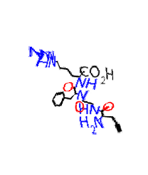 C#CC[C@@H](N)C(=O)NCC(=O)N(C)[C@@H](Cc1ccccc1)C(=O)N[C@@H](CCCCNN=[N+]=[N-])C(=O)O